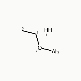 CC[O][Al].[HH]